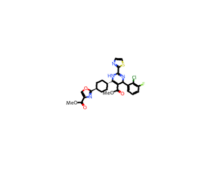 COC(=O)C1=C([C@H]2CC[C@H](c3nc(C(=O)OC)co3)CC2)NC(c2nccs2)=NC1c1cccc(F)c1Cl